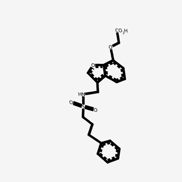 O=C(O)COc1cccc2c(CNS(=O)(=O)CCCc3ccccc3)coc12